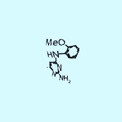 COc1ccccc1Nc1c[c]nc(N)n1